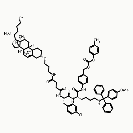 COc1ccc(C(NCCCC[C@H](NC(=O)[C@H](Cc2ccc(Cl)cc2)NC(=O)CCC(=O)NCCCO[C@H]2CC[C@@]3(C)C(=CC[C@H]4[C@@H]5CC[C@H]([C@H](C)CCCC(C)C)[C@@]5(C)CC[C@@H]43)C2)C(=O)Nc2ccc(COC(=O)Oc3ccc(C)cc3)cc2)(c2ccccc2)c2ccccc2)cc1